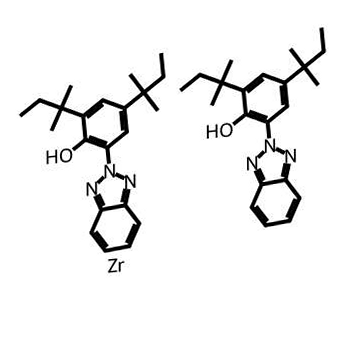 CCC(C)(C)c1cc(-n2nc3ccccc3n2)c(O)c(C(C)(C)CC)c1.CCC(C)(C)c1cc(-n2nc3ccccc3n2)c(O)c(C(C)(C)CC)c1.[Zr]